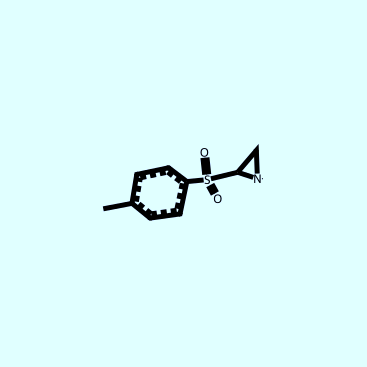 Cc1ccc(S(=O)(=O)C2C[N]2)cc1